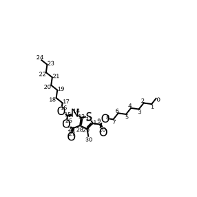 CCCCCCCCOC(=O)c1sc2nc(OCCCCCCCC)oc(=O)c2c1C